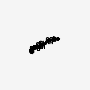 CC(C)(C)c1ccc(OCC(=O)NCCCCC(NS(=O)(=O)c2ccc3oc4ccccc4c3c2)C(=O)O)cc1